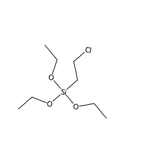 CCO[Si](CCCl)(OCC)OCC